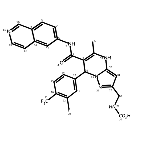 CC1=C(C(=O)Nc2ccc3cnccc3c2)C(c2ccc(C(F)(F)F)c(F)c2)n2nc(CNC(=O)O)cc2N1